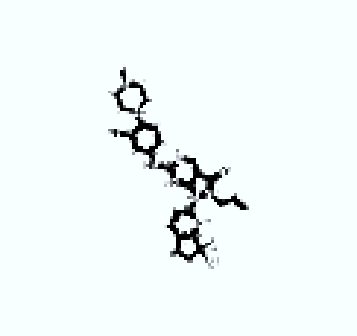 C=CCn1c(=O)c2cnc(Nc3ccc(N4CCN(C)CC4)c(F)c3)nc2n1-c1ccc2c(n1)[C@@](O)(CC)CC2